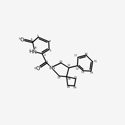 O=C(c1cccc(=O)[nH]1)N1CC(c2ccccc2)C2(CCC2)C1